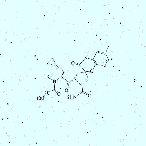 Cc1cnc2c(c1)NC(=O)C1(C[C@@H](C(N)=O)N(C(=O)[C@H](CC3CC3)N(C)C(=O)OC(C)(C)C)C1)O2